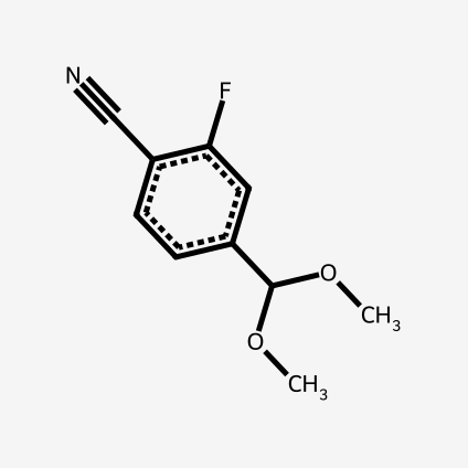 COC(OC)c1ccc(C#N)c(F)c1